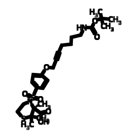 CC(C)(C)OC(=O)NCCCCC#CCOc1ccc(S(=O)(=O)N2CCSC(C)(C)[C@]2(C)C(=O)O)cc1